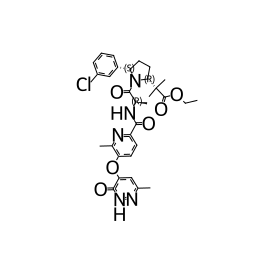 CCOC(=O)C(C)(C)[C@H]1CC[C@@H](c2cccc(Cl)c2)N1C(=O)[C@@H](C)NC(=O)c1ccc(Oc2cc(C)n[nH]c2=O)c(C)n1